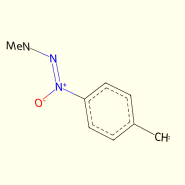 [CH]c1ccc([N+]([O-])=NNC)cc1